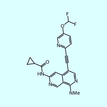 CNc1ncc(C#Cc2ccc(OC(F)F)cn2)c2cc(NC(=O)C3CC3)ncc12